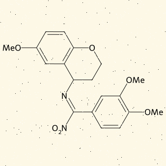 COc1ccc2c(c1)C(N=C(c1ccc(OC)c(OC)c1)[N+](=O)[O-])CCO2